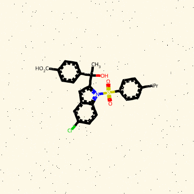 CC(C)c1ccc(S(=O)(=O)n2c(C(C)(O)c3ccc(C(=O)O)cc3)cc3cc(Cl)ccc32)cc1